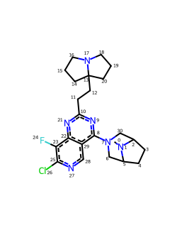 CN1C2CCC1CN(c1nc(CCC34CCCN3CCC4)nc3c(F)c(Cl)ncc13)C2